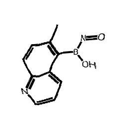 Cc1ccc2ncccc2c1B(O)N=O